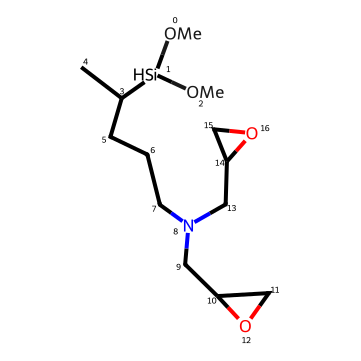 CO[SiH](OC)C(C)CCCN(CC1CO1)CC1CO1